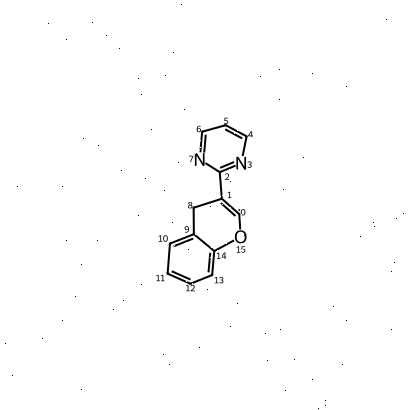 [C]1=C(c2ncccn2)Cc2ccccc2O1